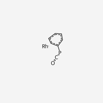 O=C=Pc1ccccc1.[Rh]